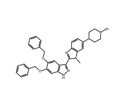 CCN1CCN(c2ccc3nc(-c4n[nH]c5cc(OCc6ccccc6)c(OCc6ccccc6)cc45)n(C)c3c2)CC1